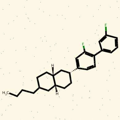 CCCCC1CC[C@@H]2C[C@H](c3ccc(-c4cccc(F)c4)c(F)c3)CC[C@@H]2C1